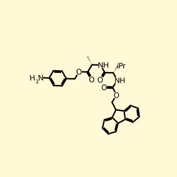 CC(C)[C@H](NC(=O)OCC1c2ccccc2-c2ccccc21)C(=O)N[C@@H](C)C(=O)OCc1ccc(N)cc1